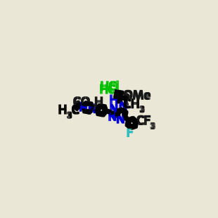 COCC1(CN(C)c2cc(-c3cc(F)cc(C(F)(F)F)c3)nc3nc(-c4ccc(N5CCN(C(C)C(=O)O)CC5)cc4)[nH]c23)CCC1.Cl.Cl